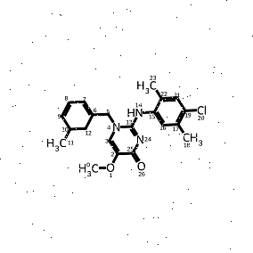 COc1cn(CC2=CC=CC(C)C2)c(Nc2cc(C)c(Cl)cc2C)nc1=O